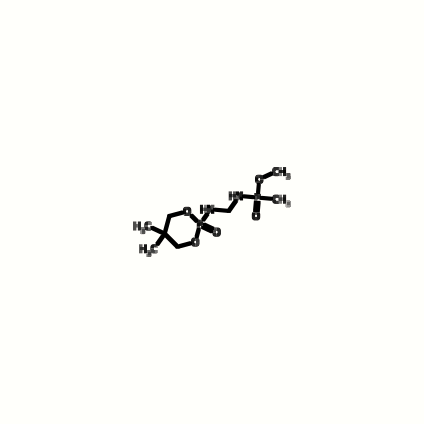 COP(C)(=O)NCNP1(=O)OCC(C)(C)CO1